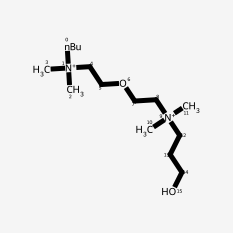 CCCC[N+](C)(C)CCOCC[N+](C)(C)CCCO